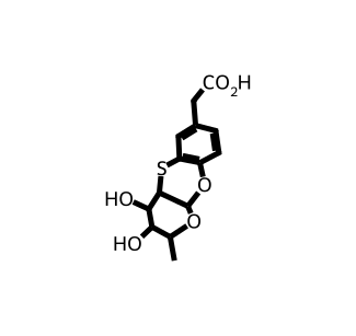 CC1OC2Oc3ccc(CC(=O)O)cc3SC2C(O)C1O